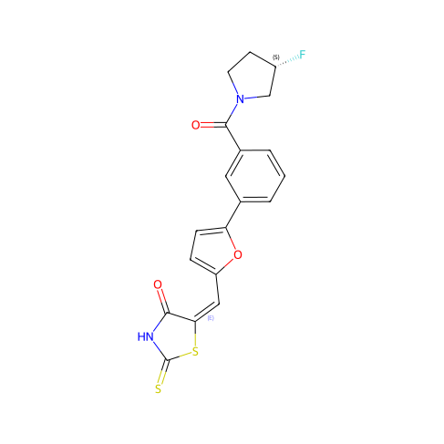 O=C1NC(=S)S/C1=C/c1ccc(-c2cccc(C(=O)N3CC[C@H](F)C3)c2)o1